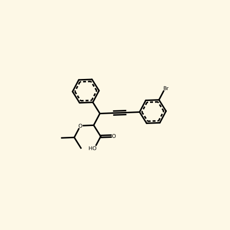 CC(C)OC(C(=O)O)C(C#Cc1cccc(Br)c1)c1ccccc1